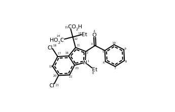 CCn1c(C(=O)c2ccccc2)c(C(CC)(C(=O)O)C(=O)O)c2c(Cl)cc(Cl)cc21